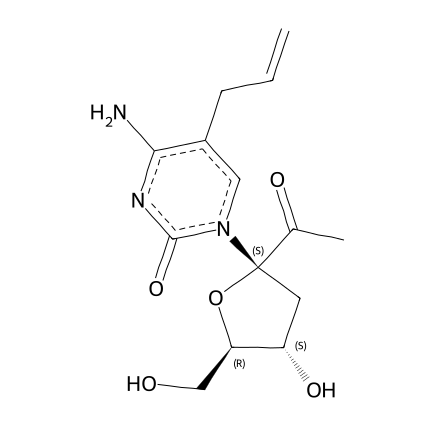 C=CCc1cn([C@@]2(C(C)=O)C[C@H](O)[C@@H](CO)O2)c(=O)nc1N